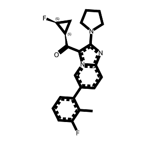 Cc1c(F)cccc1-c1ccc2nc(N3CCCC3)c(C(=O)[C@@H]3C[C@@H]3F)n2c1